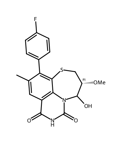 CO[C@H]1CSc2c(-c3ccc(F)cc3)c(C)cc3c(=O)[nH]c(=O)n(c23)C1O